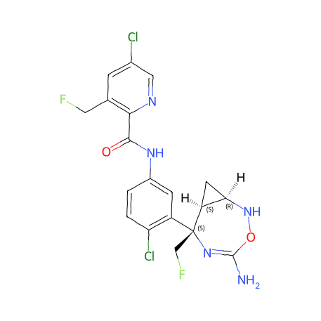 NC1=N[C@](CF)(c2cc(NC(=O)c3ncc(Cl)cc3CF)ccc2Cl)[C@H]2C[C@H]2NO1